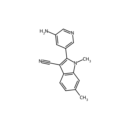 Cc1ccc2c(C#N)c(-c3cncc(N)c3)n(C)c2c1